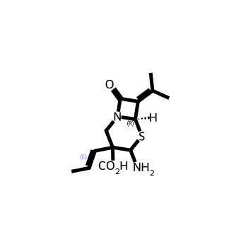 C/C=C/C1(C(=O)O)CN2C(=O)C(=C(C)C)[C@H]2SC1N